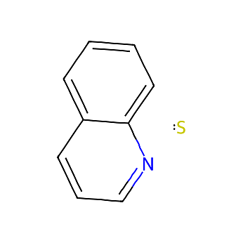 [S].c1ccc2ncccc2c1